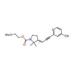 COCCOC(=O)N1CC/C(=C\C#Cc2cc(C#N)ccn2)C1(C)C